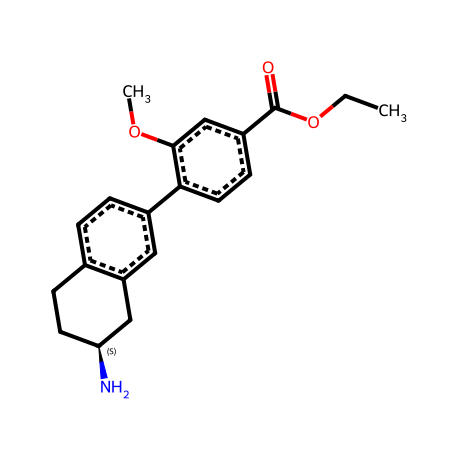 CCOC(=O)c1ccc(-c2ccc3c(c2)C[C@@H](N)CC3)c(OC)c1